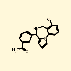 CC(=O)c1cccc(C2NCc3c(Cl)cccc3-n3cccc32)c1